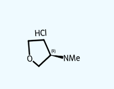 CN[C@@H]1CCOC1.Cl